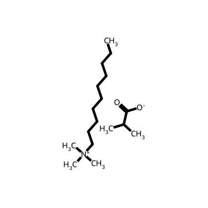 CC(C)C(=O)[O-].CCCCCCCCCC[N+](C)(C)C